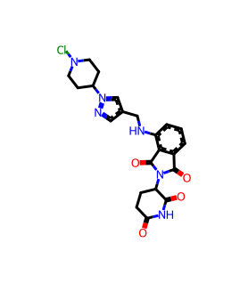 O=C1CCC(N2C(=O)c3cccc(NCc4cnn(C5CCN(Cl)CC5)c4)c3C2=O)C(=O)N1